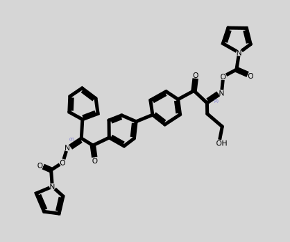 O=C(/C(CCO)=N\OC(=O)n1cccc1)c1ccc(-c2ccc(C(=O)/C(=N\OC(=O)n3cccc3)c3ccccc3)cc2)cc1